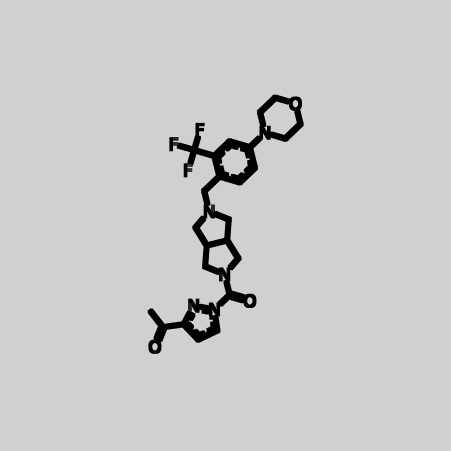 CC(=O)c1ccn(C(=O)N2CC3CN(Cc4ccc(N5CCOCC5)cc4C(F)(F)F)CC3C2)n1